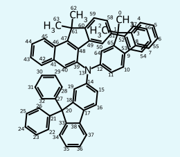 CC1(C)c2ccccc2-c2ccc(N(c3ccc4c(c3)C(c3ccccc3)(c3ccccc3)c3ccccc3-4)c3cc4ccccc4c4c3-c3cc(-c5ccccc5)ccc3C4(C)C)cc21